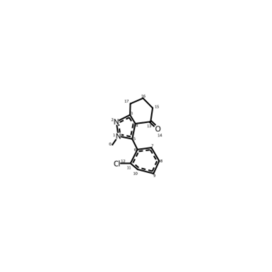 Cn1nc2c(c1-c1ccccc1Cl)C(=O)CCC2